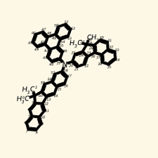 CC1(C)c2cc3ccccc3cc2-c2cc3ccc(N(c4ccc5c(c4)C(C)(C)c4ccc6ccccc6c4-5)c4ccc5c6ccccc6c6ccccc6c5c4)cc3cc21